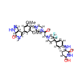 COc1cc(-c2cn(C)c(=O)c3[nH]ncc23)cc(OC)c1CN1CCN(C(=O)CN2CCC(c3ccc(NC4CCC(O)NC4=O)cc3)C(F)(F)C2)CC1